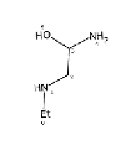 CCNCC(N)O